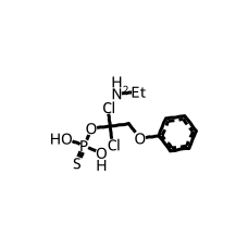 CCN.OP(O)(=S)OC(Cl)(Cl)COc1ccccc1